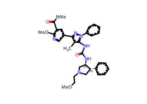 CNC(=O)c1cc(-c2nn(-c3ccccc3)c(NC(=O)N[C@@H]3CN(CCOC)C[C@H]3c3ccccc3)c2C)cnc1OC